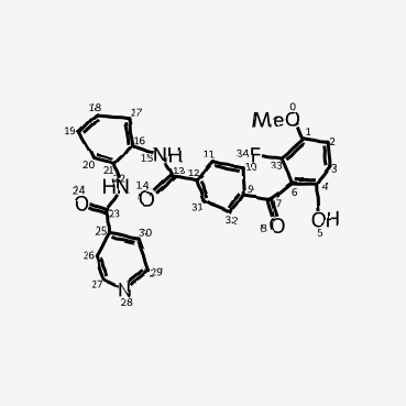 COc1ccc(O)c(C(=O)c2ccc(C(=O)Nc3ccccc3NC(=O)c3ccncc3)cc2)c1F